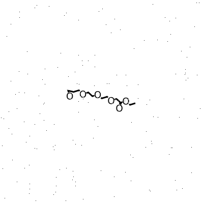 CCOC(=O)COCCOCCOCC1CO1